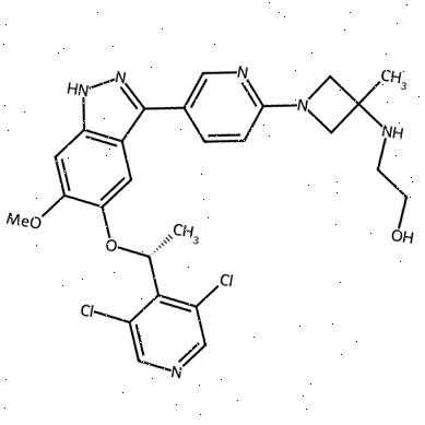 COc1cc2[nH]nc(-c3ccc(N4CC(C)(NCCO)C4)nc3)c2cc1O[C@H](C)c1c(Cl)cncc1Cl